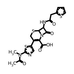 CC(=O)N(C)c1ncc(C2=C(C(=O)O)N3C(=O)C(NC(=O)Cc4cccs4)C3SC2)s1